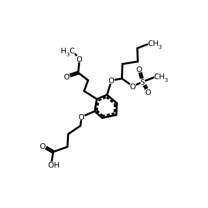 CCCCC(Oc1cccc(OCCCC(=O)O)c1CCC(=O)OC)OS(C)(=O)=O